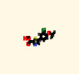 CC(C)Oc1ccc(-c2cnc(C(=O)O)s2)cc1Cl